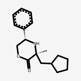 C[C@@]1(CC2CCCC2)N[C@@H](c2ccccc2)COC1=O